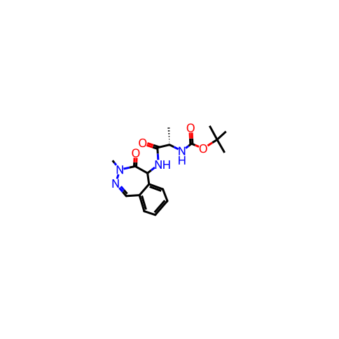 C[C@H](NC(=O)OC(C)(C)C)C(=O)NC1C(=O)N(C)N=Cc2ccccc21